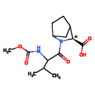 COC(=O)NC(C(=O)N1C2CCC(C2)[C@H]1C(=O)O)C(C)C